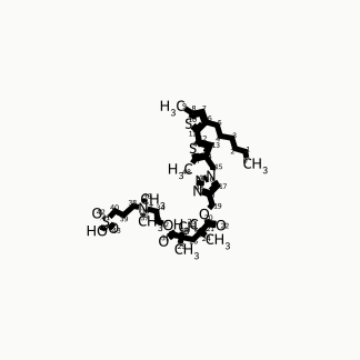 CCCCCCc1cc(C)sc1-c1cc(Cn2cc(COC(=O)C(C)(C)CC(C)(C)C(=O)OCC[N+](C)(C)CCCS(=O)(=O)O)nn2)c(C)s1